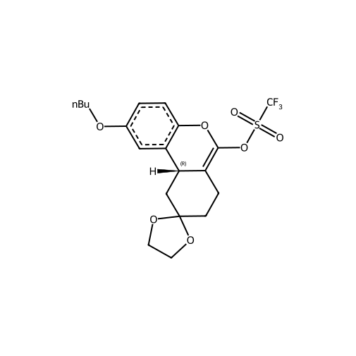 CCCCOc1ccc2c(c1)[C@H]1CC3(CCC1=C(OS(=O)(=O)C(F)(F)F)O2)OCCO3